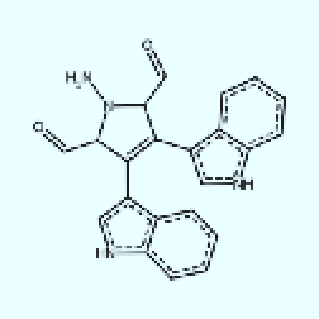 NN1C(C=O)C(c2c[nH]c3ccccc23)=C(c2c[nH]c3ccccc23)C1C=O